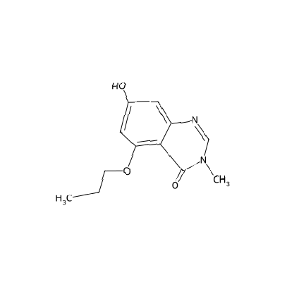 CCCOc1cc(O)cc2ncn(C)c(=O)c12